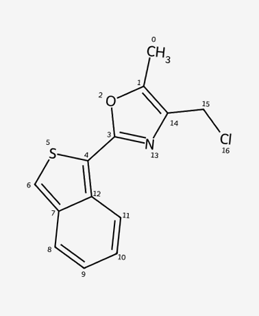 Cc1oc(-c2scc3ccccc23)nc1CCl